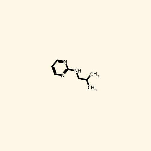 CC(C)CNc1ncccn1